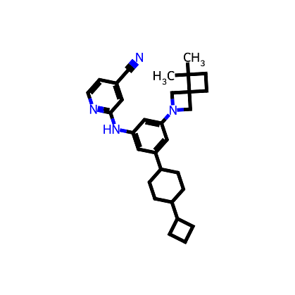 CC1(C)CCC12CN(c1cc(Nc3cc(C#N)ccn3)cc(C3CCC(C4CCC4)CC3)c1)C2